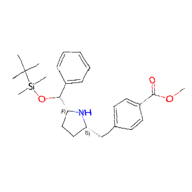 COC(=O)c1ccc(C[C@@H]2CC[C@H](C(O[Si](C)(C)C(C)(C)C)c3ccccc3)N2)cc1